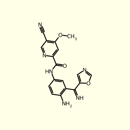 COc1cc(C(=O)Nc2ccc(N)c(C(=N)c3cnco3)c2)ncc1C#N